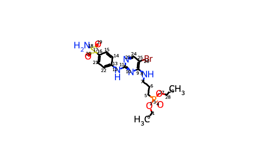 CCOP(=O)(CCCNc1nc(Nc2ccc(S(N)(=O)=O)cc2)ncc1Br)OCC